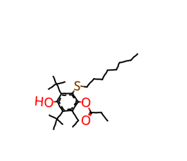 CCCCCCCCSc1c(OC(=O)CC)c(CC)c(C(C)(C)C)c(O)c1C(C)(C)C